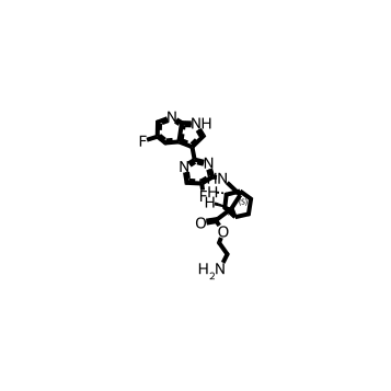 NCCOC(=O)[C@H]1C2CCC(CC2)[C@@H]1Nc1nc(-c2c[nH]c3ncc(F)cc23)ncc1F